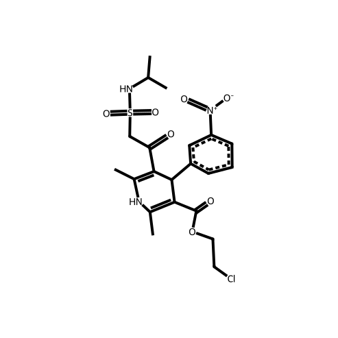 CC1=C(C(=O)CS(=O)(=O)NC(C)C)C(c2cccc([N+](=O)[O-])c2)C(C(=O)OCCCl)=C(C)N1